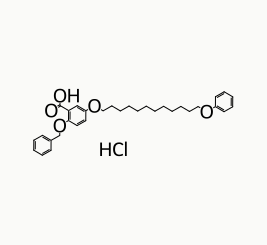 Cl.O=C(O)c1cc(OCCCCCCCCCCCCOc2ccccc2)ccc1OCc1ccccc1